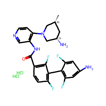 C[C@@H]1C[C@H](N)CN(c2ccncc2NC(=O)c2ccc(F)c(-c3c(F)cc(N)cc3F)c2F)C1.Cl.Cl